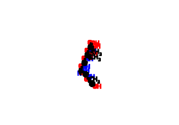 COc1c(NC(=O)c2ccc(NC(=O)c3ccc(NC(=O)C(CC#N)NC(=O)c4ccc(NC(=O)/C(C)=C/c5ccc(O)cc5)cc4)cc3)c(OC)c2O)ccc(C(=O)O)c1O